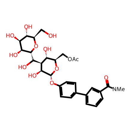 CNC(=O)c1cccc(-c2ccc(O[C@H]3O[C@H](COC(C)=O)[C@@H](O)[C@H](C(O)[C@H]4O[C@H](CO)[C@@H](O)[C@H](O)[C@@H]4O)[C@@H]3O)cc2)c1